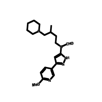 COc1ccc(-c2cc(N(C=O)CCC(C)CN3CCCCC3)[nH]n2)cn1